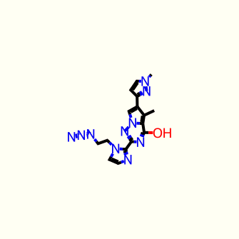 Cc1c(-c2ccn(C)n2)cn2nc(-c3nccn3CCN=[N+]=[N-])nc(O)c12